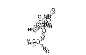 C[C@@H]1CN(c2cc(N3CCN(CC4=C(C56CC(N7CCOCC7)(C5)C6)CC(C)(C)CC4)CC3)ccc2C(=O)NS(=O)(=O)c2ccc(NCC3CCOCC3)c([N+](=O)[O-])c2)c2cc3cc[nH]c3nc2O1